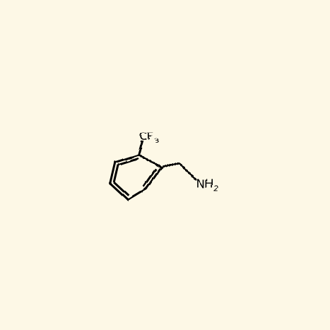 NCC1=CC=C=C=C1C(F)(F)F